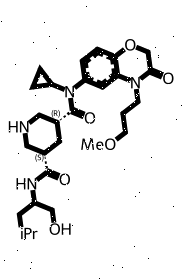 COCCCN1C(=O)COc2ccc(N(C(=O)[C@H]3CNC[C@@H](C(=O)NC(CO)CC(C)C)C3)C3CC3)cc21